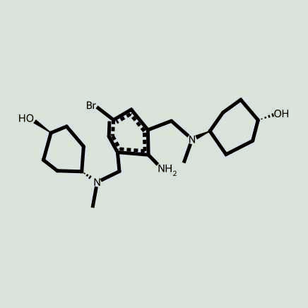 CN(Cc1cc(Br)cc(CN(C)[C@H]2CC[C@H](O)CC2)c1N)[C@H]1CC[C@H](O)CC1